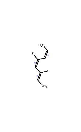 C\C=C/C(F)=C\C(F)=C\C